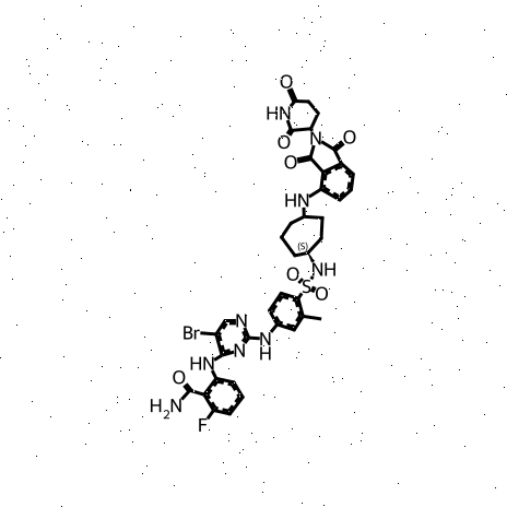 Cc1cc(Nc2ncc(Br)c(Nc3cccc(F)c3C(N)=O)n2)ccc1S(=O)(=O)N[C@H]1CCCC(Nc2cccc3c2C(=O)N(C2CCC(=O)NC2=O)C3=O)CC1